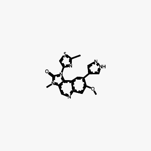 COc1cc2ncc3c(c2cc1-c1cn[nH]c1)n(-c1csc(C)n1)c(=O)n3C